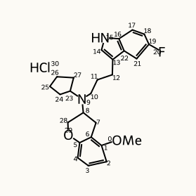 COc1cccc2c1CC(N(CCCc1c[nH]c3ccc(F)cc13)C1CCCC1)CO2.Cl